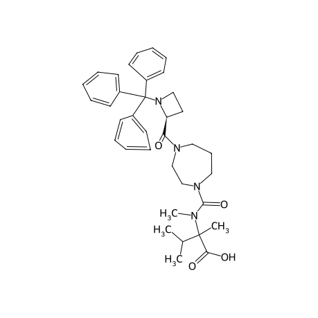 CC(C)C(C)(C(=O)O)N(C)C(=O)N1CCCN(C(=O)[C@@H]2CCN2C(c2ccccc2)(c2ccccc2)c2ccccc2)CC1